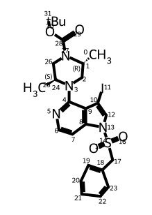 C[C@@H]1CN(c2nccc3c2c(I)cn3S(=O)(=O)Cc2ccccc2)[C@@H](C)CN1C(=O)OC(C)(C)C